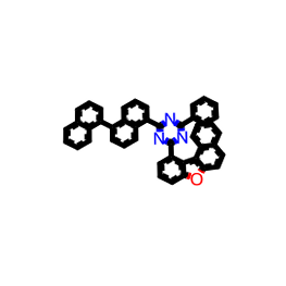 c1ccc(-c2nc(-c3cccc4c(-c5cccc6ccccc56)cccc34)nc(-c3cccc4oc5ccc6ccccc6c5c34)n2)cc1